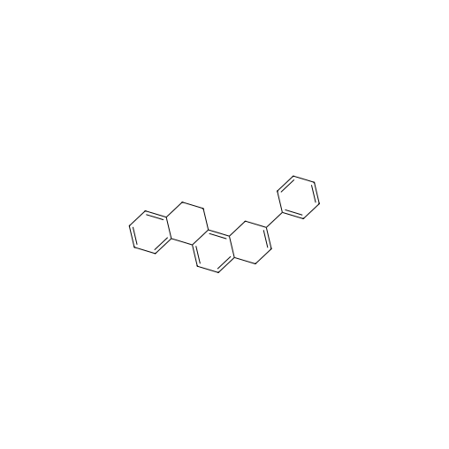 C1=C(c2ccccc2)Cc2c(ccc3c2CCc2ccccc2-3)C1